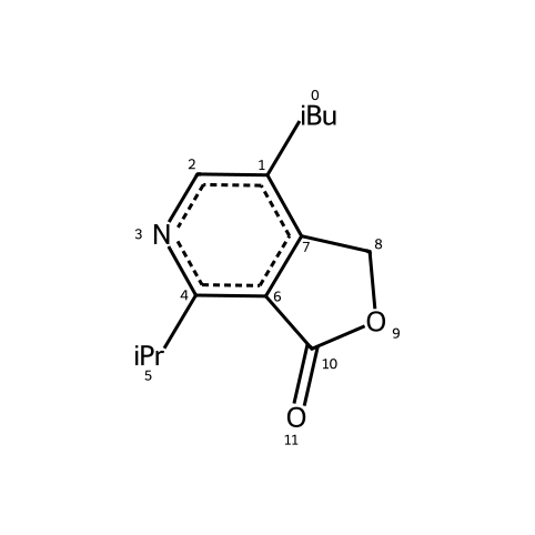 CCC(C)c1cnc(C(C)C)c2c1COC2=O